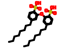 CCCCCCCCc1ccc(S(=O)(=O)O)c(Oc2cc(CCCCCCCC)ccc2S(=O)(=O)O)c1